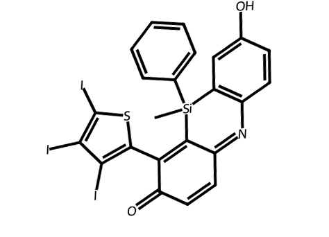 C[Si]1(c2ccccc2)C2=C(c3sc(I)c(I)c3I)C(=O)C=CC2=Nc2ccc(O)cc21